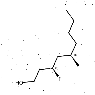 CCCC[C@@H](C)C[C@@H](F)CCO